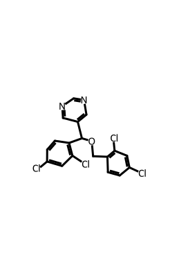 Clc1ccc(COC(c2cncnc2)c2ccc(Cl)cc2Cl)c(Cl)c1